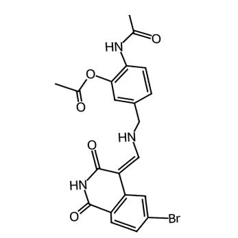 CC(=O)Nc1ccc(CNC=C2C(=O)NC(=O)c3ccc(Br)cc32)cc1OC(C)=O